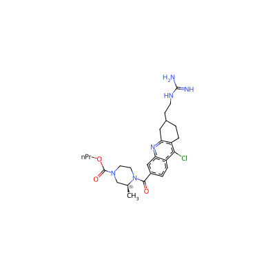 CCCOC(=O)N1CCN(C(=O)c2ccc3c(Cl)c4c(nc3c2)CC(CCNC(=N)N)CC4)[C@@H](C)C1